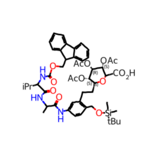 CC(=O)O[C@@H]1[C@@H](OC(C)=O)[C@H](OC(C)=O)C(C(=O)O)O[C@H]1CCc1cc(NC(=O)C(C)NC(=O)C(NC(=O)OCC2c3ccccc3-c3ccccc32)C(C)C)ccc1CO[Si](C)(C)C(C)(C)C